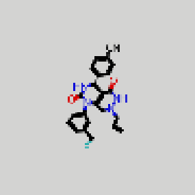 C=CCN1CC2=C(C(=O)N1)[C@@H](c1ccc(C#N)cc1)NC(=O)N2c1cccc(CF)c1